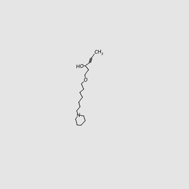 CC#CC(O)CCOCCCCCCCN1CCCCC1